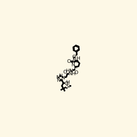 C[SiH](C)OC(CC(C)(C)C)c1nnnn1CC(=O)NNC(=O)[C@@H]1CC[C@@H]2CN1C(=O)N2OCc1ccccc1